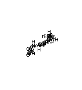 Cc1cnc(Nc2ccc(N3CCN(CC(=O)NCCCCNc4ccc5c(c4)C(=O)N(C4CCC(=O)NC4=O)C5=O)CC3)cc2)nc1Nc1cccc(S(=O)(=O)NC(C)(C)C)c1